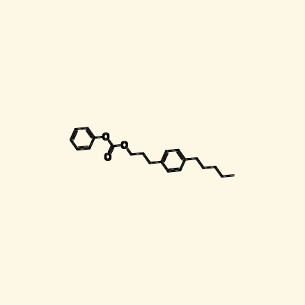 CCCCCc1ccc(CCCOC(=O)Oc2ccccc2)cc1